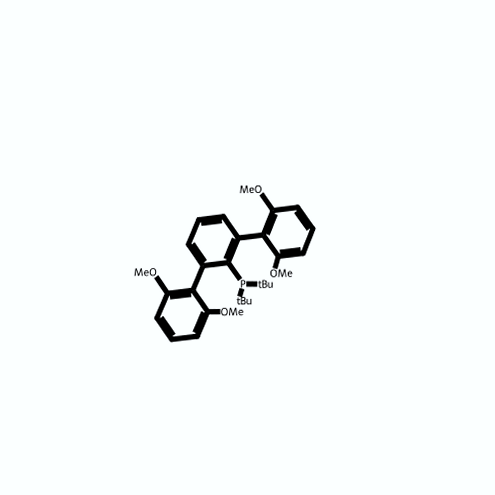 COc1cccc(OC)c1-c1cccc(-c2c(OC)cccc2OC)c1P(C(C)(C)C)C(C)(C)C